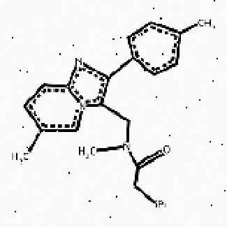 Cc1ccc(-c2nc3ccc(C)cn3c2CN(C)C(=O)CC(C)C)cc1